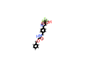 O=C(COCc1ccccc1)NCc1ccc(C2=NOC(O)(C(F)(F)F)C2)cc1